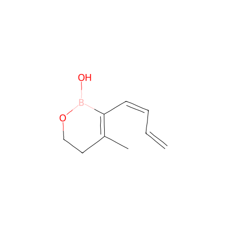 C=C/C=C\C1=C(C)CCOB1O